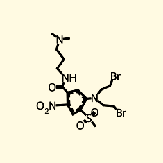 CN(C)CCCNC(=O)c1cc(N(CCBr)CCBr)c(S(C)(=O)=O)cc1[N+](=O)[O-]